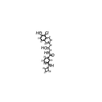 O=C(NCC(O)CN1CCc2c(ccc(O)c2Cl)C1)c1ccnc(NC2CCC2)c1